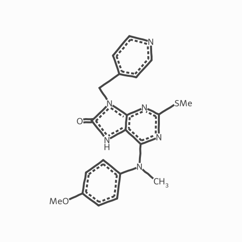 COc1ccc(N(C)c2nc(SC)nc3c2[nH]c(=O)n3Cc2ccncc2)cc1